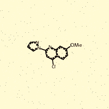 COc1ccc2c(Cl)cc(-n3cccn3)nc2c1